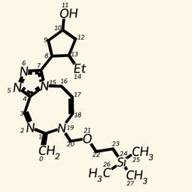 C=C1/N=C\c2nnc(C3CC(O)CC3CC)n2C/C=C\N1COCC[Si](C)(C)C